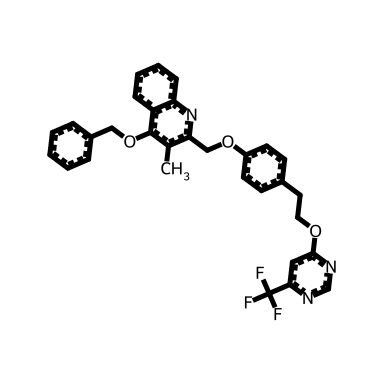 Cc1c(COc2ccc(CCOc3cc(C(F)(F)F)ncn3)cc2)nc2ccccc2c1OCc1ccccc1